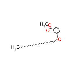 CCCCCCCCCCCCC=CC1OC1c1cccc(C(=O)OC)c1